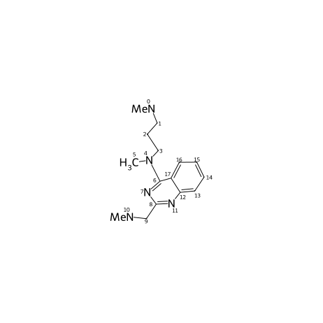 CNCCCN(C)c1nc(CNC)nc2ccccc12